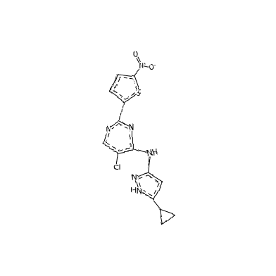 O=[N+]([O-])c1ccc(-c2ncc(Cl)c(Nc3cc(C4CC4)[nH]n3)n2)s1